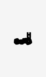 C1=CNc2ccc(OCc3ccccc3)cc2C=C1